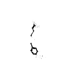 COc1ccc(COCCC=C(Br)Br)cc1